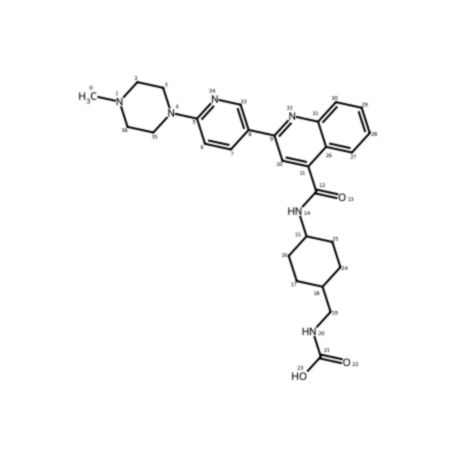 CN1CCN(c2ccc(-c3cc(C(=O)NC4CCC(CNC(=O)O)CC4)c4ccccc4n3)cn2)CC1